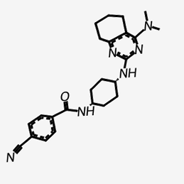 CN(C)c1nc(N[C@H]2CC[C@@H](NC(=O)c3ccc(C#N)cc3)CC2)nc2c1CCCC2